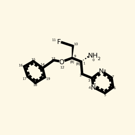 N[C@H](Cc1ncccn1)[C@H](CF)OCc1ccccc1